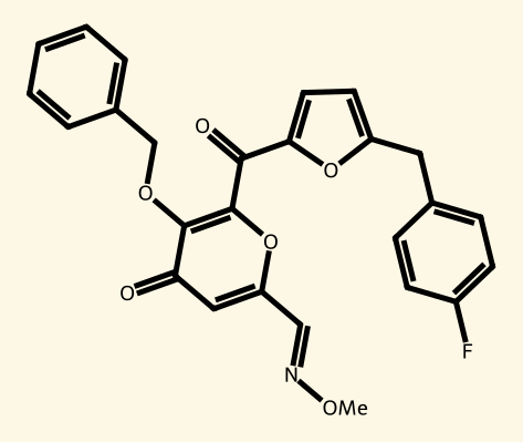 CO/N=C/c1cc(=O)c(OCc2ccccc2)c(C(=O)c2ccc(Cc3ccc(F)cc3)o2)o1